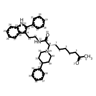 CC(=O)CCCCC[C@@H](C(=O)NCCc1c(-c2ccccc2)[nH]c2ccccc12)N1CCC(c2ccccc2)CC1